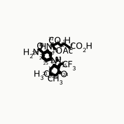 CC(=O)OCC(CCCCC(=O)O)(Nc1cc(-n2nc(C(F)(F)F)c3c2CC(C)(C)CC3=O)ccc1C(N)=O)C(=O)O